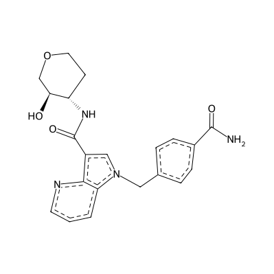 NC(=O)c1ccc(Cn2cc(C(=O)N[C@H]3CCOC[C@@H]3O)c3ncccc32)cc1